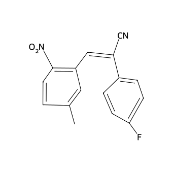 Cc1ccc([N+](=O)[O-])c(C=C(C#N)c2ccc(F)cc2)c1